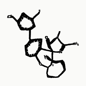 CN1C(=O)C2(N=C1N)c1cc(-c3cc(F)cc(Cl)c3)ccc1OC1CCCC[C@H]12